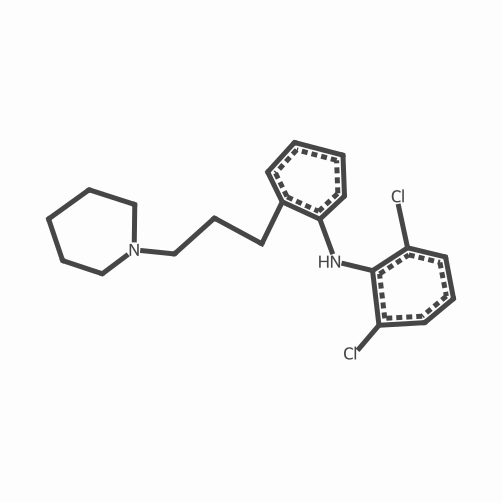 Clc1cccc(Cl)c1Nc1ccccc1CCCN1CCCCC1